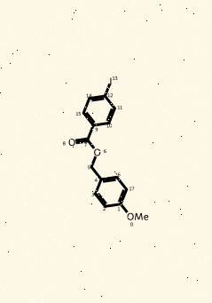 COc1ccc(COC(=O)c2ccc(I)cc2)cc1